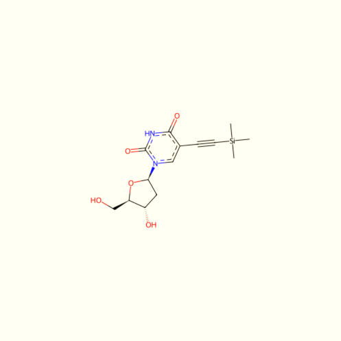 C[Si](C)(C)C#Cc1cn([C@H]2C[C@H](O)[C@@H](CO)O2)c(=O)[nH]c1=O